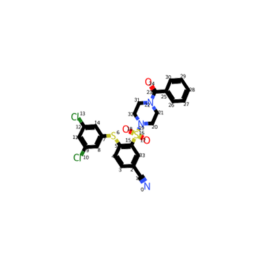 N#Cc1ccc(Sc2cc(Cl)cc(Cl)c2)c(S(=O)(=O)N2CCN(C(=O)c3ccccc3)CC2)c1